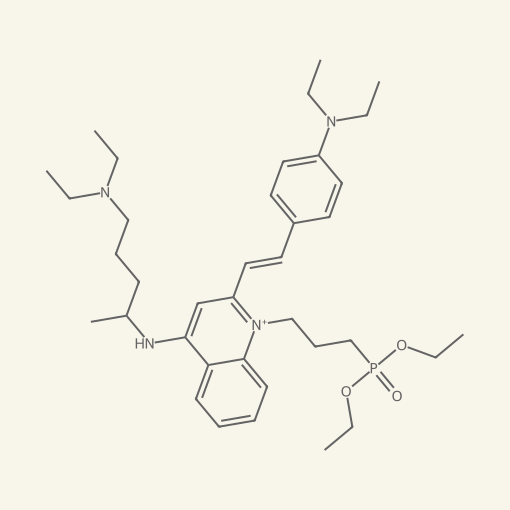 CCOP(=O)(CCC[n+]1c(C=Cc2ccc(N(CC)CC)cc2)cc(NC(C)CCCN(CC)CC)c2ccccc21)OCC